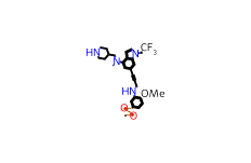 COc1ccc(S(C)(=O)=O)cc1NCC#Cc1cc(N(C)CC2CCNCC2)c2ccn(CC(F)(F)F)c2c1